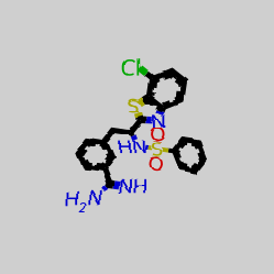 N=C(N)c1cccc(CC(NS(=O)(=O)c2ccccc2)c2nc3cccc(Cl)c3s2)c1